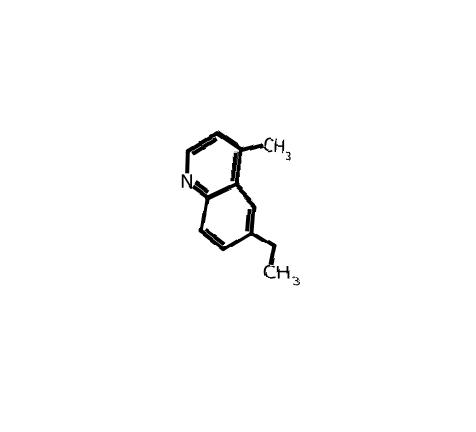 CCc1ccc2nccc(C)c2c1